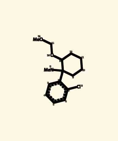 CNC1(c2ccccc2Cl)CCCCC1OCOC